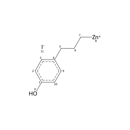 Oc1ccc(CC[CH2][Zn+])cc1.[I-]